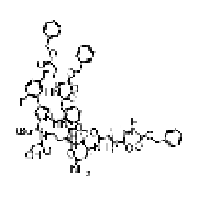 C[C@H](NC(=O)OCc1ccccc1)C(=O)N(C)[C@@H](C)C(=O)N[C@@H](CC(N)=O)C(=O)N[C@@H](CCN(C(=O)CO)[C@@H](c1cc(-c2cc(F)ccc2F)cn1Cc1ccccc1)C(C)(C)C)C(=O)NCCC(=O)N[C@H](CCC(=O)OCc1ccccc1)C(=O)OCc1ccccc1